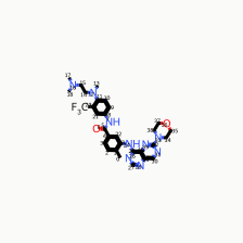 Cc1ccc(C(=O)Nc2ccc(N(C)CCN(C)C)c(C(F)(F)F)c2)cc1Nc1ncnc2cnc(N3CCOCC3)nc12